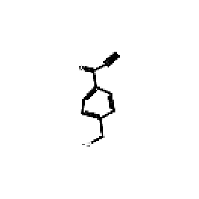 C#CC(=O)c1ccc(CO)cc1